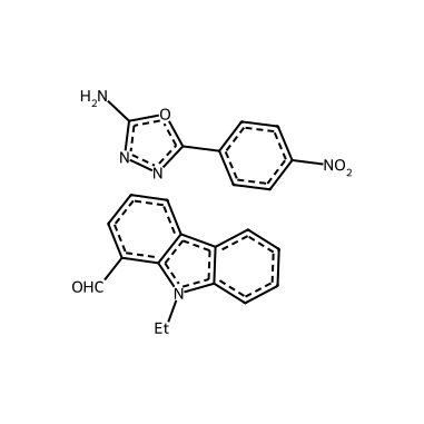 CCn1c2ccccc2c2cccc(C=O)c21.Nc1nnc(-c2ccc([N+](=O)[O-])cc2)o1